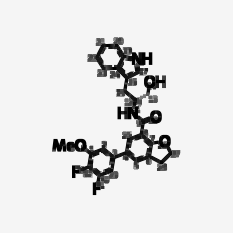 COc1cc(-c2cc3c(c(C(=O)N[C@@H](CO)Cc4c[nH]c5ccccc45)c2)OCC3)cc(F)c1F